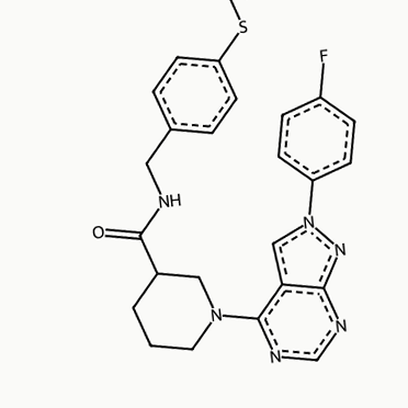 CSc1ccc(CNC(=O)C2CCCN(c3ncnc4nn(-c5ccc(F)cc5)cc34)C2)cc1